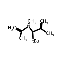 C=C(C)C(N(C)C(=C)C)C(C)(C)C